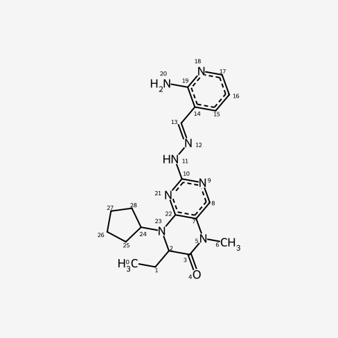 CCC1C(=O)N(C)c2cnc(NN=Cc3cccnc3N)nc2N1C1CCCC1